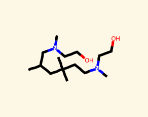 CC(CN(C)CCO)CC(C)(C)CCN(C)CCO